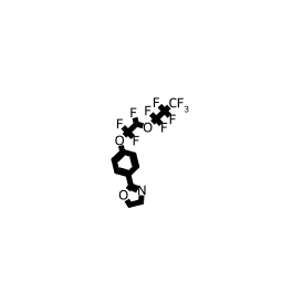 FC(OC(F)(F)C(F)(F)C(F)(F)F)C(F)(F)Oc1ccc(C2=NCCO2)cc1